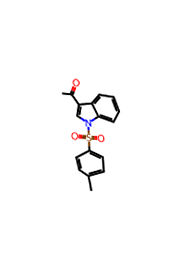 CC(=O)c1cn(S(=O)(=O)c2ccc(C)cc2)c2ccccc12